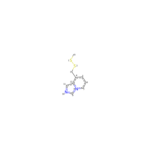 CSSCc1cccn2cncc12